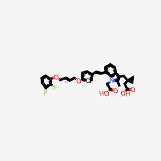 Cc1c(CC2(CC(=O)O)CC2)c2cccc(C=Cc3ccc(OC/C=C/COc4cccc(F)c4F)cc3)c2n1CC(=O)O